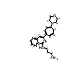 NCCCNc1nc(C2=CC=C(N3CCOCC3)CC=C2)cc2nccnc12